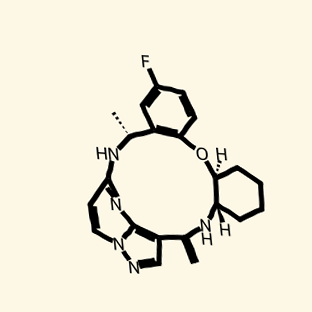 C=C1N[C@H]2CCCC[C@@H]2Oc2ccc(F)cc2[C@@H](C)Nc2ccn3ncc1c3n2